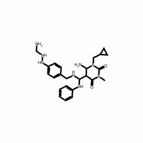 CN1C(=O)C(C(NCc2ccc(NNCN)cc2)Nc2ccccc2)C(N)N(CC2CC2)C1=O